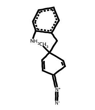 CC1(Cc2ccccc2N)C=CC(=[N+]=[N-])C=C1